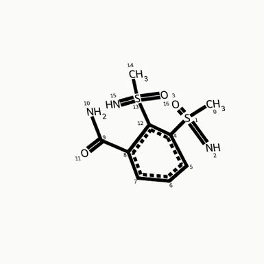 CS(=N)(=O)c1cccc(C(N)=O)c1S(C)(=N)=O